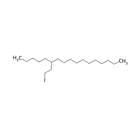 CCCCCCCCCCCC(CCI)CCCCC